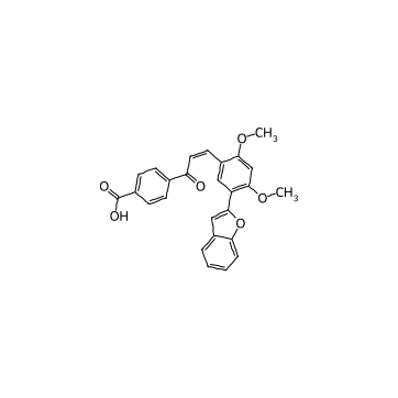 COc1cc(OC)c(-c2cc3ccccc3o2)cc1/C=C\C(=O)c1ccc(C(=O)O)cc1